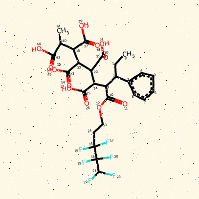 CCC(c1ccccc1)C(C(=O)OCCC(F)(F)C(F)(F)C(F)F)C(C(=O)O)C(C(=O)O)C(C(=O)O)C(C(=O)O)C(C)C(=O)O